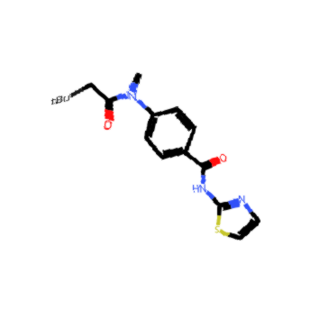 CN(C(=O)CC(C)(C)C)c1ccc(C(=O)Nc2nccs2)cc1